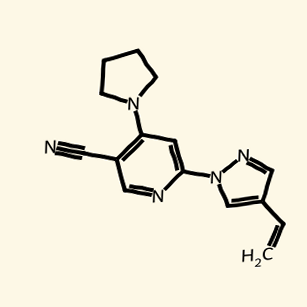 C=Cc1cnn(-c2cc(N3CCCC3)c(C#N)cn2)c1